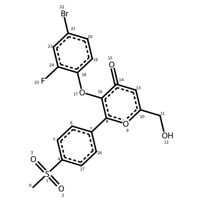 CS(=O)(=O)c1ccc(-c2oc(CO)cc(=O)c2Oc2ccc(Br)cc2F)cc1